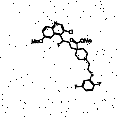 COC(=O)C1(CCC(F)c2c(Cl)cnc3ccc(OC)cc23)CCN(CCSc2cc(F)ccc2F)CC1